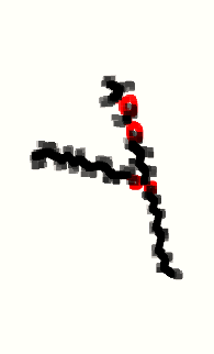 CCCCCCCCCCOC(CCC=COCOCCC)OCCCCCCCCCC